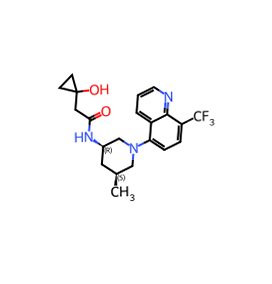 C[C@H]1C[C@@H](NC(=O)CC2(O)CC2)CN(c2ccc(C(F)(F)F)c3ncccc23)C1